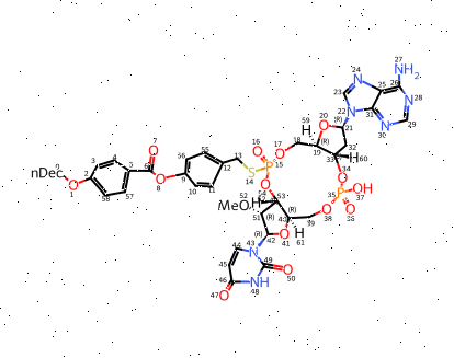 CCCCCCCCCCOc1ccc(C(=O)Oc2ccc(CSP3(=O)OC[C@H]4O[C@@H](n5cnc6c(N)ncnc65)C[C@@H]4OP(=O)(O)OC[C@H]4O[C@@H](n5ccc(=O)[nH]c5=O)[C@H](OC)[C@@H]4O3)cc2)cc1